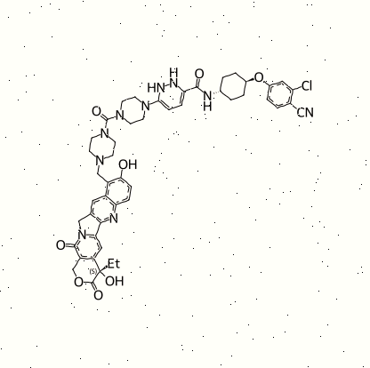 CC[C@@]1(O)C(=O)OCc2c1cc1n(c2=O)Cc2cc3c(CN4CCN(C(=O)N5CCN(C6=CC=C(C(=O)N[C@H]7CC[C@H](Oc8ccc(C#N)c(Cl)c8)CC7)NN6)CC5)CC4)c(O)ccc3nc2-1